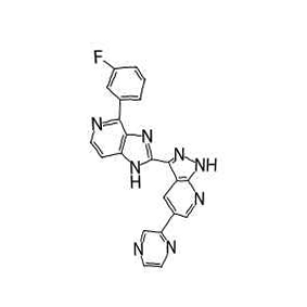 Fc1cccc(-c2nccc3[nH]c(-c4n[nH]c5ncc(-c6cnccn6)cc45)nc23)c1